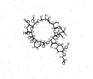 CCC1/C=C(\C)C(F)C(C)CC(OC)C2OC(O)(C(=O)C(=O)N3CCCCC3C(=O)OC(C(C)=CC3CCC(OCC=O)C(OC)C3)C(C)C(O[Si](C)(C)C(C)(C)C)CC1=O)C(C)CC2OC